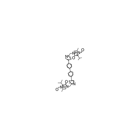 CCCN(Cc1ncc(-c2ccc(-c3ccc(-c4cnc(CN(CCC)C(=O)[C@@H](NC=O)C(C)C)s4)cc3)cc2)s1)C(=O)[C@@H](NC=O)C(C)C